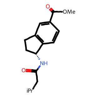 COC(=O)c1ccc2c(c1)CC[C@H]2NC(=O)CC(C)C